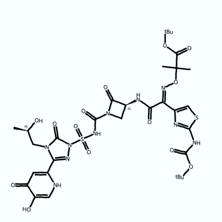 C[C@@H](O)Cn1c(-c2cc(=O)c(O)c[nH]2)nn(S(=O)(=O)NC(=O)N2C[C@H](NC(=O)C(=NOC(C)(C)C(=O)OC(C)(C)C)c3csc(NC(=O)OC(C)(C)C)n3)C2=O)c1=O